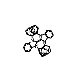 C1=C=C(N2/C(=C3\N(C4=CN=CCC4)c4ccccc4N3c3cccnc3)N(c3cccnc3)c3ccccc32)C=NC=1